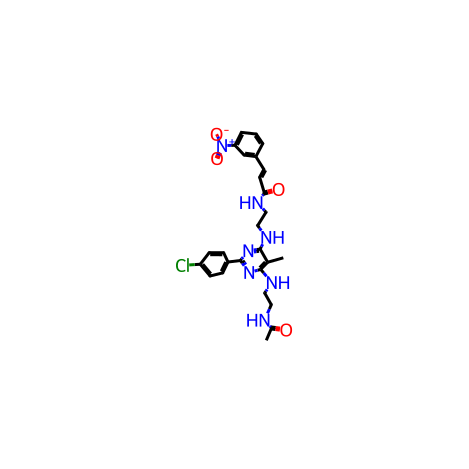 CC(=O)NCCNc1nc(-c2ccc(Cl)cc2)nc(NCCNC(=O)C=Cc2cccc([N+](=O)[O-])c2)c1C